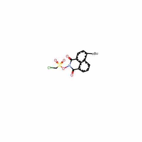 CCCCc1ccc2c3c(cccc13)C(=O)N(OS(=O)(=O)CCl)C2=O